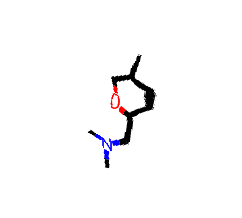 CC1CCC(CN(C)C)OC1